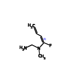 C=C/C=C(/F)N(C)CN